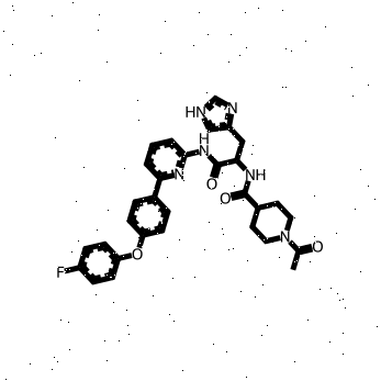 CC(=O)N1CCC(C(=O)NC(Cc2c[nH]cn2)C(=O)Nc2cccc(-c3ccc(Oc4ccc(F)cc4)cc3)n2)CC1